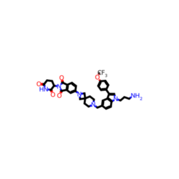 NCCCn1cc(-c2ccc(OC(F)(F)F)cc2)c2cc(CN3CCC4(CC3)CN(c3ccc5c(c3)C(=O)N(C3CCC(=O)NC3=O)C5=O)C4)ccc21